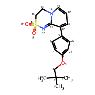 CC(C)(C)COc1ccc(C2=CC=CN3CCS(=O)(=O)N=C23)cc1